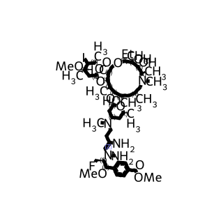 CC[C@H]1OC(=O)[C@H](C)[C@@H](O[C@H]2C[C@@](C)(OC)C(I)[C@H](C)O2)[C@H](C)[C@@H](O[C@H]2C[C@@H](N(C)CC/C(N)=C/N(N)[C@H](CF)[C@H](OC)c3ccc(C(=O)OC)cc3)C[C@@H](C)O2)[C@](C)(O)C[C@@H](C)CN(C)[C@H](C)[C@@H](O)[C@]1(C)O